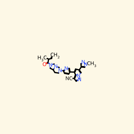 C=CC(C)C(=O)N1CC2CCN(c3ccc(-c4cc(-c5cnn(C)c5)cn5ncc(C#N)c45)cn3)CN2C1